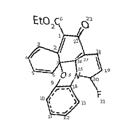 CCOC(=O)C1=C2C=CC=CC23Oc2ccccc2N2C3=C(C=CC2F)C1=O